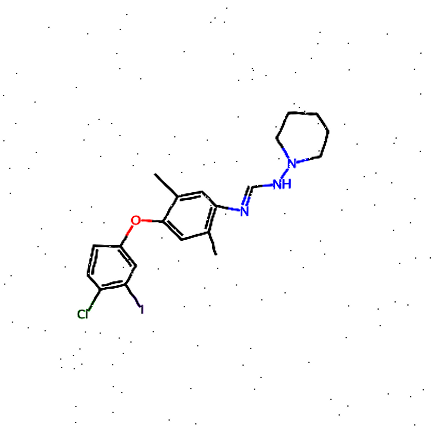 Cc1cc(Oc2ccc(Cl)c(I)c2)c(C)cc1/N=C/NN1CCCCC1